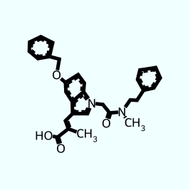 C/C(=C\c1cn(CC(=O)N(C)CCc2ccccc2)c2ccc(OCc3ccccc3)cc12)C(=O)O